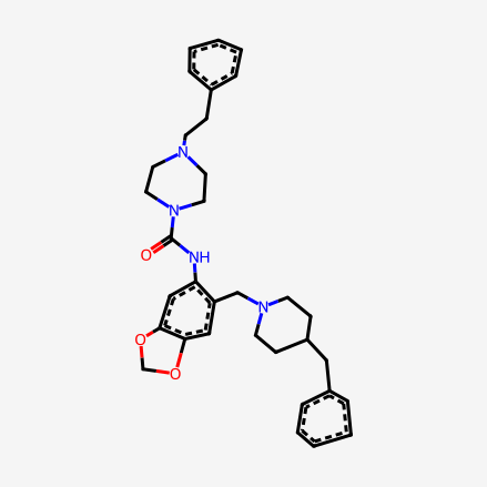 O=C(Nc1cc2c(cc1CN1CCC(Cc3ccccc3)CC1)OCO2)N1CCN(CCc2ccccc2)CC1